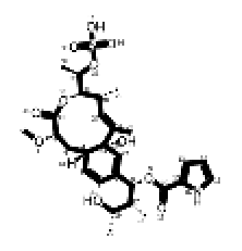 CO[C@H]1C[C@H]2C=CC([C@H](OC(=O)c3ccc[nH]3)[C@H](C)[C@H](C)O)=C[C@]2(O)/C(C)=C/[C@@H](C)[C@@H]([C@@H](C)OS(=O)(=O)O)OC1=O